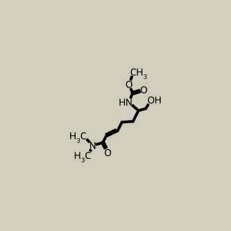 COC(=O)NC(CO)CC/C=C/C(=O)N(C)C